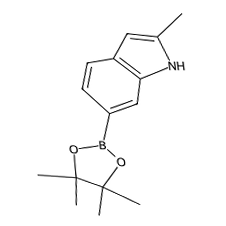 Cc1cc2ccc(B3OC(C)(C)C(C)(C)O3)cc2[nH]1